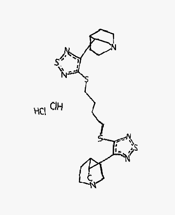 C(CCSc1nsnc1C1CN2CCC1CC2)CSc1nsnc1C1CN2CCC1CC2.Cl.Cl